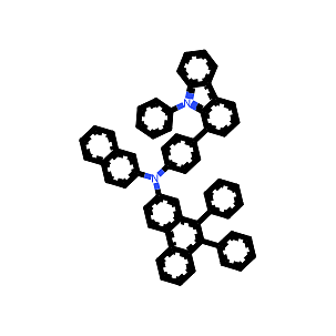 c1ccc(-c2c(-c3ccccc3)c3cc(N(c4ccc(-c5cccc6c7ccccc7n(-c7ccccc7)c56)cc4)c4ccc5ccccc5c4)ccc3c3ccccc23)cc1